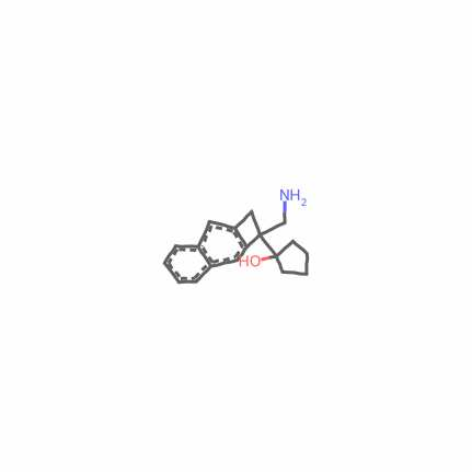 NCC1(C2(O)CCCC2)Cc2cc3ccccc3cc21